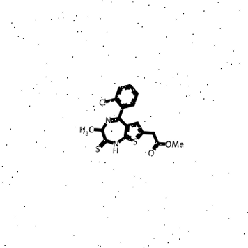 COC(=O)Cc1cc2c(s1)NC(=S)C(C)N=C2c1ccccc1Cl